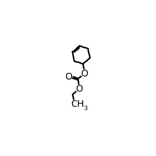 CCOC(=O)OC1CC=CCC1